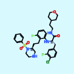 O=C(NCCC1CCOCC1)[C@H](Cc1ccc(Cl)c(F)c1)Nc1cccc(F)c1CC[C@H]1CNCCN1S(=O)(=O)c1ccccc1